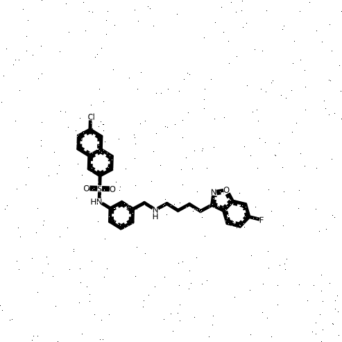 O=S(=O)(Nc1cccc(CNCCCCc2noc3cc(F)ccc23)c1)c1ccc2cc(Cl)ccc2c1